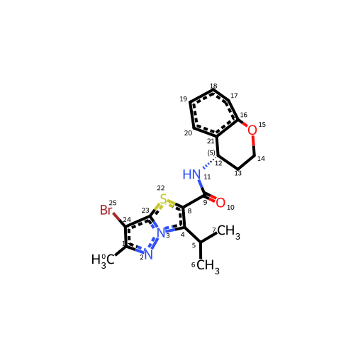 Cc1nn2c(C(C)C)c(C(=O)N[C@H]3CCOc4ccccc43)sc2c1Br